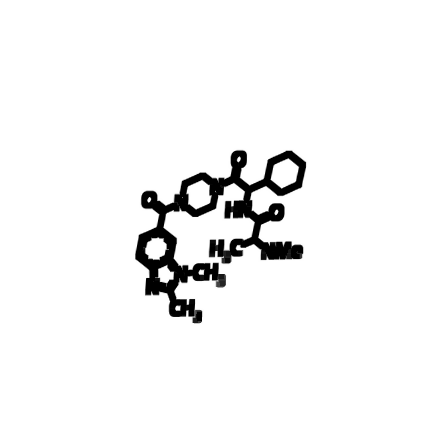 CNC(C)C(=O)NC(C(=O)N1CCN(C(=O)c2ccc3nc(C)n(C)c3c2)CC1)C1CCCCC1